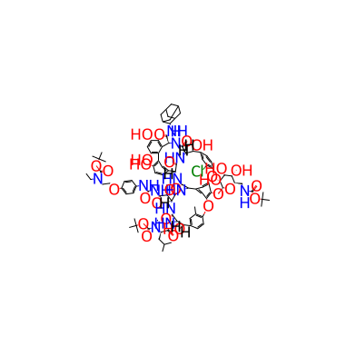 CCN(CCOc1ccc(NC(=O)NC(=O)C[C@@H]2NC(=O)[C@H](NC(=O)[C@@H](CC(C)C)N(C)C(=O)OC(C)(C)C)[C@H](O)c3ccc(c(C)c3)Oc3cc4cc(c3O[C@@H]3O[C@H](CNC(=O)OC(C)(C)C)[C@@H](O)[C@H](O)[C@H]3O)Oc3ccc(cc3Cl)[C@@H](O)[C@@H]3NC(=O)[C@H](NC(=O)C4NC2=O)c2ccc(O)c(c2)-c2c(O)cc(O)cc2[C@@H](C(=O)NC2C4CC5CC(C4)CC2C5)NC3=O)cc1)C(=O)OC(C)(C)C